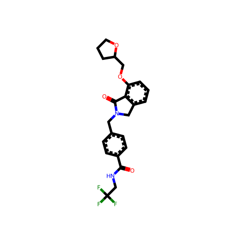 O=C(NCC(F)(F)F)c1ccc(CN2Cc3cccc(OCC4CCCO4)c3C2=O)cc1